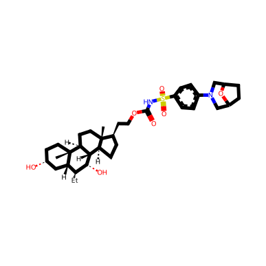 CC[C@H]1[C@@H](O)[C@@H]2[C@H](CC[C@]3(C)[C@@H](CCOC(=O)NS(=O)(=O)c4ccc(N5CC6CCC(C5)O6)cc4)CC[C@@H]23)[C@@]2(C)CC[C@@H](O)C[C@@H]12